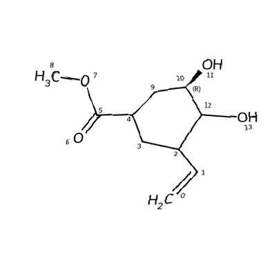 C=CC1CC(C(=O)OC)C[C@@H](O)C1O